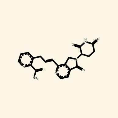 NC(=O)c1ncccc1CC=Cc1nccc2c1CN(C1CCC(=O)NC1=O)C2=O